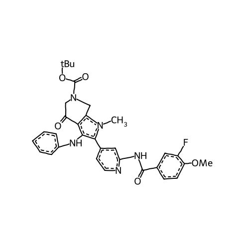 COc1ccc(C(=O)Nc2cc(-c3c(Nc4ccccc4)c4c(n3C)CN(C(=O)OC(C)(C)C)CC4=O)ccn2)cc1F